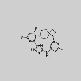 Cc1cc(Nc2n[nH]c(-c3cc(F)cc(F)c3)n2)cc(N2CCC23CCOCC3)c1